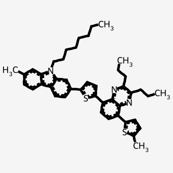 CCCCCCCCn1c2cc(C)ccc2c2ccc(-c3ccc(-c4ccc(-c5ccc(C)s5)c5nc(CCC)c(CCC)nc45)s3)cc21